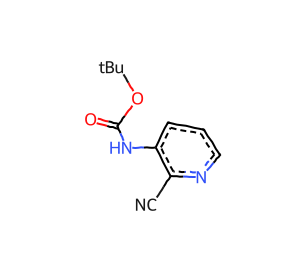 CC(C)(C)OC(=O)Nc1cccnc1C#N